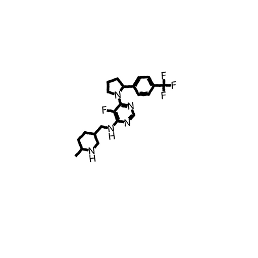 CC1CCC(CNc2ncnc(N3CCCC3c3ccc(C(F)(F)F)cc3)c2F)CN1